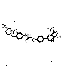 CCN1CCN(Cc2ccc(NC(=O)COc3ccc(-c4cnc5[nH]nc(C)c5c4)cc3)cc2C(F)(F)F)CC1